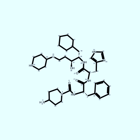 NC1CCN(C(=O)N[C@@H](Cc2ccccc2)C(=O)N[C@@H](Cc2c[nH]cn2)C(=O)N[C@@H](CC2CCCCC2)[C@@H](O)CCOC2CCNCC2)CC1